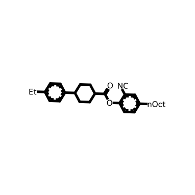 CCCCCCCCc1ccc(OC(=O)C2CCC(c3ccc(CC)cc3)CC2)c(C#N)c1